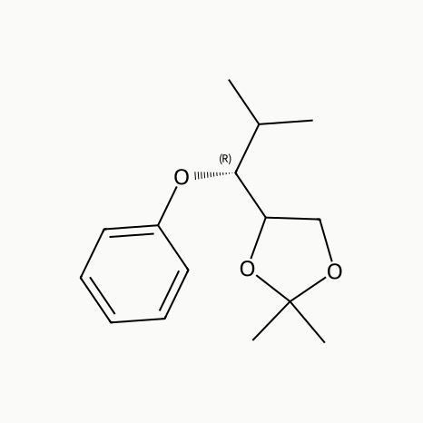 CC(C)[C@@H](Oc1ccccc1)C1COC(C)(C)O1